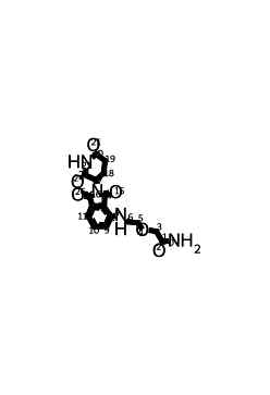 NC(=O)COCCNc1cccc2c1C(=O)N(C1CCC(=O)NC1=O)C2=O